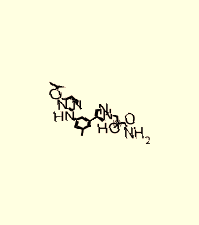 Cc1cc(Nc2nccc(OC(C)C)n2)cc(-c2cnn(C[C@H](O)C(N)=O)c2)c1